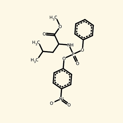 COC(=O)C(CC(C)C)NP(=O)(Oc1ccccc1)Oc1ccc([N+](=O)[O-])cc1